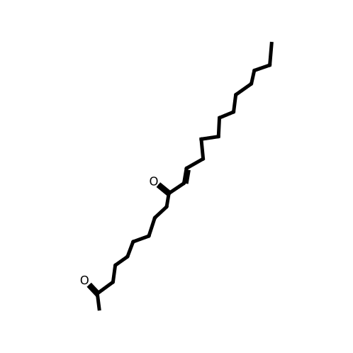 CCCCCCCCCCC=CC(=O)CCCCCCCC(C)=O